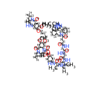 CCC(C)(C)n1nnc2c1-c1ccccc1CN(C(=O)CCC(=O)NCC(=O)NCC(=O)N[C@H](C(=O)N[C@@H](C)C(=O)Nc1ccc(COC(=O)N3c4cc(OCCCCCOc5cc6c(cc5OC)C(=O)N5CC7(CC7)C[C@H]5CN6)c(OC)cc4C(=O)N4CC5(CC5)C[C@H]4C3O)cc1)C(C)C)c1ccccc1-2